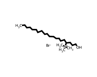 CCCCCCCCCCCCCCCCC(CCCO)[N+](C)(C)C.[Br-]